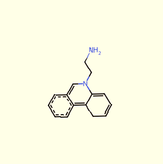 NCCN1C=c2ccccc2=C2CC=CC=C21